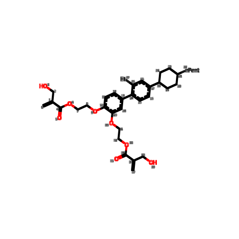 C=C(CO)C(=O)OCCOc1ccc(-c2ccc(C3CCC(CCCCC)CC3)cc2CC)cc1OCCOC(=O)C(=C)CO